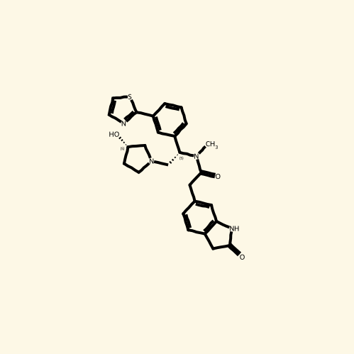 CN(C(=O)Cc1ccc2c(c1)NC(=O)C2)[C@H](CN1CC[C@H](O)C1)c1cccc(-c2nccs2)c1